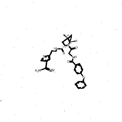 C[C@@]12C[C@@H]1N(C(=O)CNC(=O)c1ccc(Oc3ccccc3)cc1)[C@H](C(=O)NCCc1cc(C(=N)N)cs1)C2